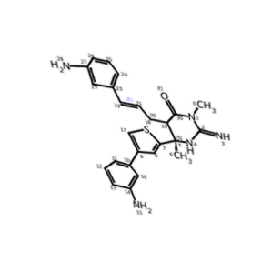 CN1C(=N)N[C@](C)(c2cc(-c3cccc(N)c3)cs2)C(C/C=C/c2cccc(N)c2)C1=O